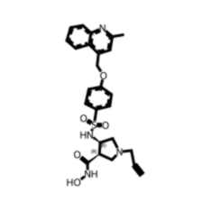 C#CCN1C[C@H](NS(=O)(=O)c2ccc(OCc3cc(C)nc4ccccc34)cc2)[C@H](C(=O)NO)C1